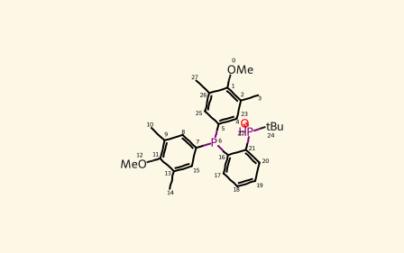 COc1c(C)cc(P(c2cc(C)c(OC)c(C)c2)c2ccccc2[PH](=O)C(C)(C)C)cc1C